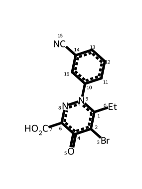 CCc1c(Br)c(=O)c(C(=O)O)nn1-c1cccc(C#N)c1